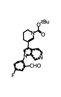 CC(C)(C)OC(=O)N1C=C(c2cn(-c3ccc(F)cc3C=O)c3cnccc23)CCC1